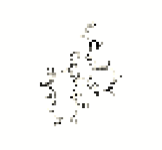 C=COC(=O)c1ccccc1-c1cccc2ccccc12